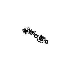 O=C(Nc1ccc(Oc2cccc(NC(=O)N3CCN(c4ccccc4)C3=O)c2)cn1)N1CCCC1